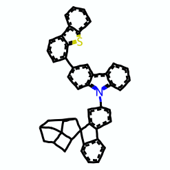 c1ccc2c(c1)-c1ccc(-n3c4ccccc4c4cc(-c5cccc6c5sc5ccccc56)ccc43)cc1C21C2CC3CC4CC1C4(C3)C2